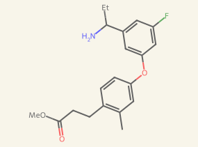 CCC(N)c1cc(F)cc(Oc2ccc(CCC(=O)OC)c(C)c2)c1